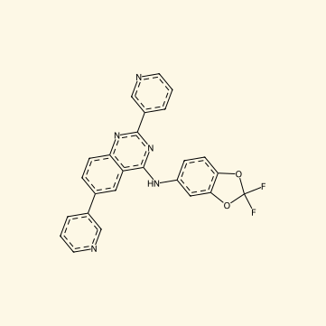 FC1(F)Oc2ccc(Nc3nc(-c4cccnc4)nc4ccc(-c5cccnc5)cc34)cc2O1